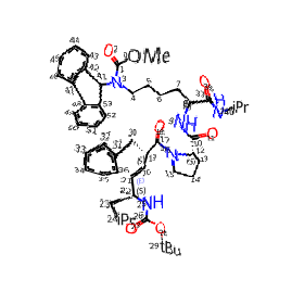 COC(=O)N(CCCC[C@H](NC(=O)[C@@H]1CCCN1C(=O)[C@H](/C=C/[C@H](CC(C)C)NC(=O)OC(C)(C)C)Cc1ccccc1)C(=O)NC(C)C)C1c2ccccc2-c2ccccc21